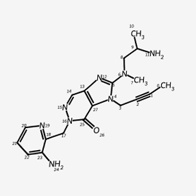 CC#CCn1c(N(C)CC(C)N)nc2cnn(Cc3ncccc3N)c(=O)c21